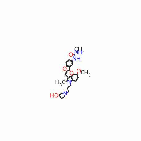 CNC(=O)Nc1ccc2c(c1)C(=O)C(=Cc1c(C)n(CCCN3CCC(O)C3)c3ccc(OC)cc13)O2